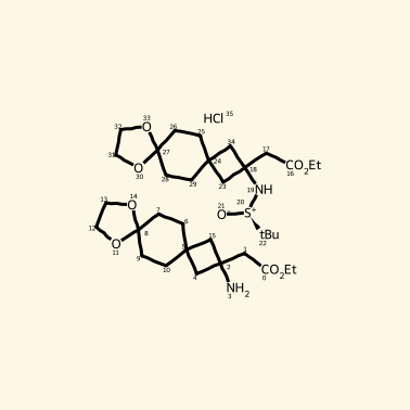 CCOC(=O)CC1(N)CC2(CCC3(CC2)OCCO3)C1.CCOC(=O)CC1(N[S@+]([O-])C(C)(C)C)CC2(CCC3(CC2)OCCO3)C1.Cl